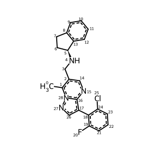 Cc1c(CN[C@H]2CCc3ccccc32)cnc2c(-c3c(F)cccc3Cl)cnn12